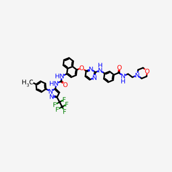 Cc1ccc(-n2nc(C(F)(F)C(F)(F)F)cc2NC(=O)Nc2ccc(Oc3ccnc(Nc4cccc(C(=O)NCCN5CCOCC5)c4)n3)c3ccccc23)cc1